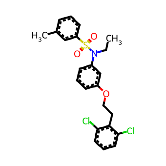 CCN(c1cccc(OCCc2c(Cl)cccc2Cl)c1)S(=O)(=O)c1cccc(C)c1